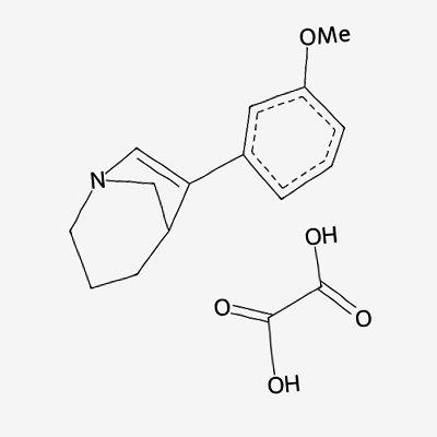 COc1cccc(C2=CN3CCCC2C3)c1.O=C(O)C(=O)O